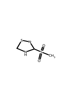 CS(=O)(=O)C1[N]SCN1